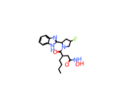 CCCCC(CC(=O)NO)C(=O)N1CC(F)CC1c1nc2ccccc2[nH]1